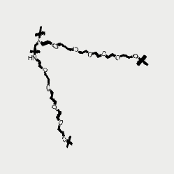 CC(C)(CN(CCOCCOCCOCCOCCOCCOC(C)(C)C)C(C)(C)C)NCCOCCOCCCOCCOCCOC(C)(C)C